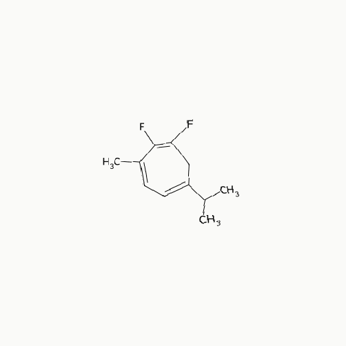 CC1=CC=C(C(C)C)CC(F)=C1F